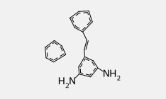 Nc1cc(N)cc(C=Cc2ccccc2)c1.c1ccccc1